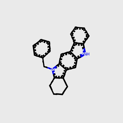 c1ccc(Cn2c3c(c4cc5[nH]c6ccccc6c5cc42)CCCC3)cc1